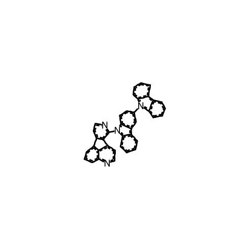 c1cc2c3c(ccnc3c1)-c1c-2ccnc1-n1c2ccccc2c2cc(-n3c4ccccc4c4ccccc43)ccc21